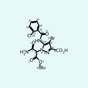 CC(C)(C)OC(=O)C(C(N)=O)n1nc(C(=O)O)c(Br)c1NC(=O)c1ccccc1Cl